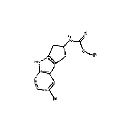 CC(C)OC(=O)NC1Cc2[nH]c3ccc(Br)cc3c2C1